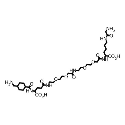 NCC(=O)NCCCCC(NC(=O)COCCOCCNC(=O)COCCOCCNC(=O)CCC(NC(=O)C1CCC(CN)CC1)C(=O)O)C(=O)O